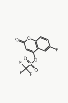 O=c1cc(OS(=O)(=O)C(F)(F)F)c2cc(F)ccc2o1